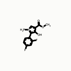 COC(=O)c1cn(P)c(-c2ccc(F)cc2F)c1O